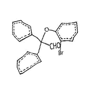 O=CC(Oc1ccccc1Br)(c1ccccc1)c1ccccc1